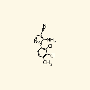 Cc1ccc(-n2ncc(C#N)c2N)c(Cl)c1Cl